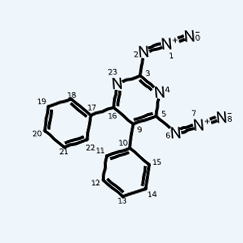 [N-]=[N+]=Nc1nc(N=[N+]=[N-])c(-c2ccccc2)c(-c2ccccc2)n1